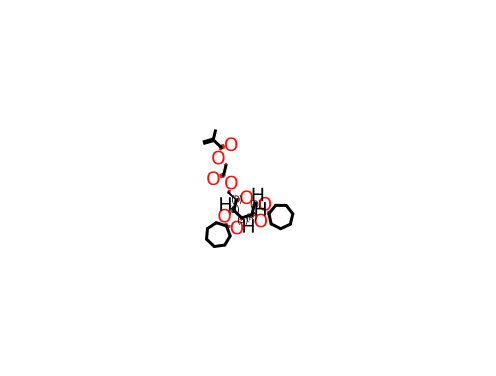 C=C(C)C(=O)OCC(=O)OC[C@H]1O[C@@H]2OC3(CCCCCC3)O[C@@H]2[C@H]2OC3(CCCCCC3)O[C@H]21